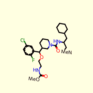 CNCC(CC1CCCCC1)NC(=O)N1CCCC(C(OCCNC(=O)OC)c2cc(Cl)ccc2F)C1